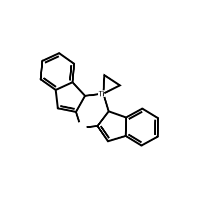 CC1=Cc2ccccc2[CH]1[Ti]1([CH]2C(C)=Cc3ccccc32)[CH2][CH2]1